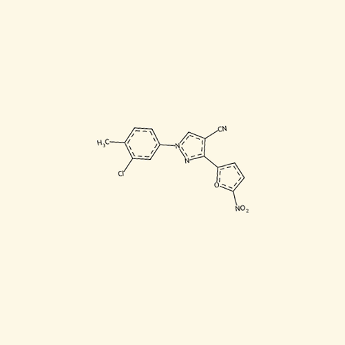 Cc1ccc(-n2cc(C#N)c(-c3ccc([N+](=O)[O-])o3)n2)cc1Cl